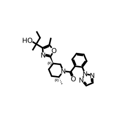 CCC(C)(O)c1nc([C@@H]2CC[C@@H](C)N(C(=O)c3ccccc3-n3nccn3)C2)oc1C